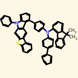 CC1(C)c2ccccc2-c2c(N(c3ccc(-c4ccccc4)cc3)c3ccc(-c4cccc5c4c4cc6c(cc4n5-c4ccccc4)sc4ccccc46)cc3)cccc21